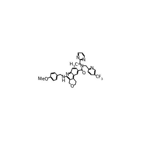 COc1ccc(CNc2nc3ccc(C(=O)N(Cc4ccc(C(F)(F)F)cn4)[C@H](C)c4ncccn4)cc3c3c2COCC3)cc1